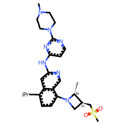 CC(C)c1ccc(N2C[C@H](CS(C)(=O)=O)[C@H]2C)c2cnc(Nc3ccnc(N4CCN(C)CC4)n3)cc12